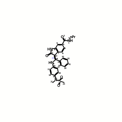 CCCNC(=O)c1ccc2c(c1)NC(=O)/C2=C(\Nc1ccc(N(C)S(C)(=O)=O)cc1)c1ccccc1